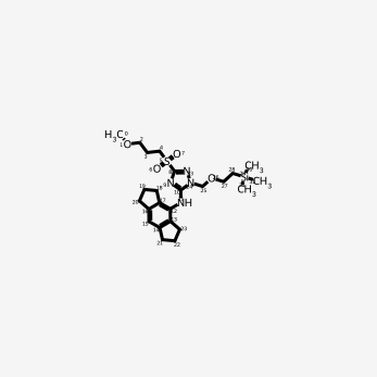 COCCCS(=O)(=O)c1nc(Nc2c3c(cc4c2CCC4)CCC3)n(COCC[Si](C)(C)C)n1